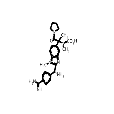 CN(C(=O)O)C(C)(C(=O)N1CCCC1)c1ccc2c(c1)nc([C@H](N)c1ccc(C(=N)N)cc1)n2C